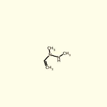 C=CN(C)NC